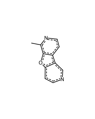 Cc1nccc2c1oc1ccncc12